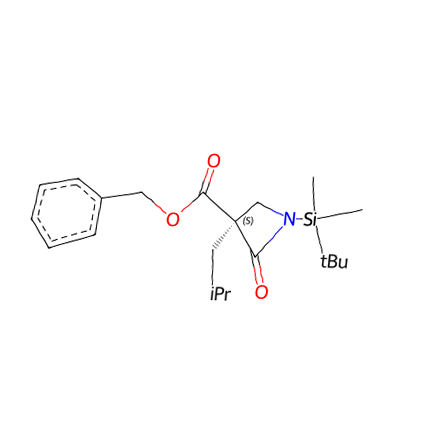 CC(C)C[C@]1(C(=O)OCc2ccccc2)CN([Si](C)(C)C(C)(C)C)C1=O